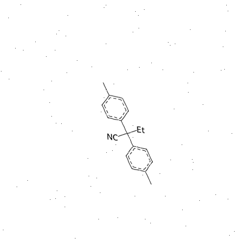 CCC(C#N)(c1ccc(C)cc1)c1ccc(C)cc1